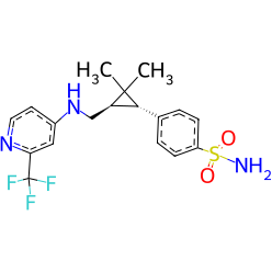 CC1(C)[C@H](CNc2ccnc(C(F)(F)F)c2)[C@H]1c1ccc(S(N)(=O)=O)cc1